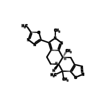 Cc1nnc(-c2c3c(nn2C)[C@@]2(C)Cc4cnoc4C(C)(C)[C@@H]2CC3)o1